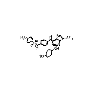 CCn1cnc2c(Nc3ccc(NS(=O)(=O)c4ccc(C)cc4)cc3)nc(NC3CCC(O)CC3)nc21